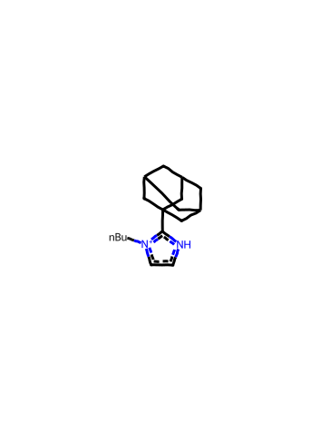 CCCC[n+]1cc[nH]c1C12CC3CC(CC(C3)C1)C2